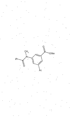 COC(=O)c1cc(C(C)=O)cc(N(C)C(=O)C(C)C)c1